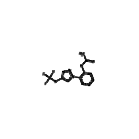 CC(=O)Oc1ccccc1-n1cc(SC(F)(F)F)cn1